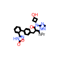 CCCc1c(Cc2ccc(-c3ccccc3-c3noc(=O)[nH]3)cc2)c(=O)n([C@H]2C[C@H](O)C2)c2ncnn12